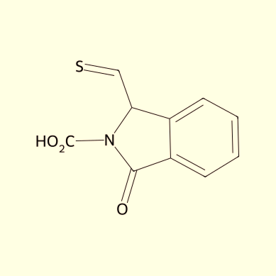 O=C(O)N1C(=O)c2ccccc2C1C=S